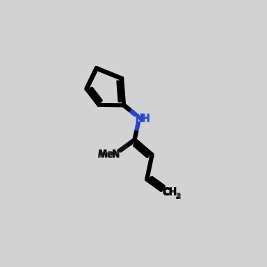 C=C/C=C(\NC)NC1=CCC=C1